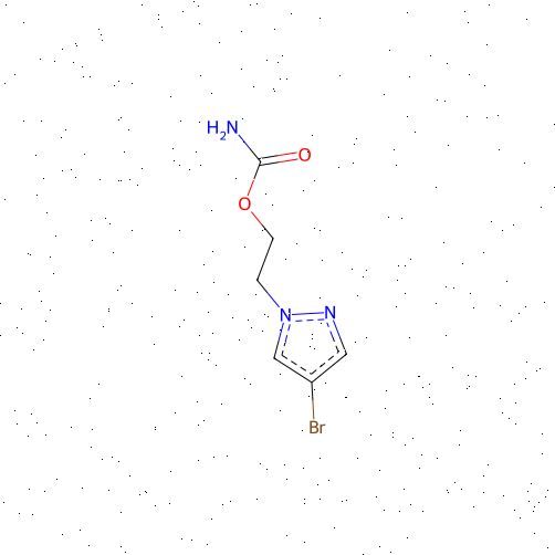 NC(=O)OCCn1cc(Br)cn1